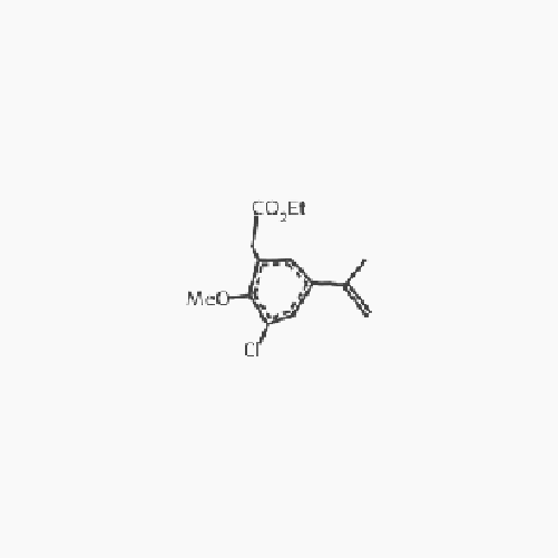 C=C(C)c1cc(Cl)c(OC)c(CC(=O)OCC)c1